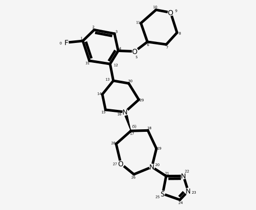 Fc1ccc(OC2CCOCC2)c(C2CCN([C@H]3CCN(c4nncs4)COC3)CC2)c1